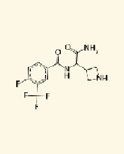 NC(=O)C(NC(=O)c1ccc(F)c(C(F)(F)F)c1)C1CNC1